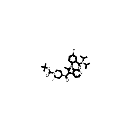 Cc1c(C(=O)[C@@H]2CCN(C(=O)OC(C)(C)C)[C@@H](C)C2)c2ccncc2n1-c1ccc(F)cc1C(=O)N(C(C)C)C(C)C